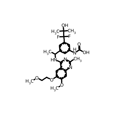 COCCOc1cc2c(NC(C)c3cc(NC(=O)O)cc(C(F)(F)C(C)(C)O)c3)nc(C)nc2cc1OC